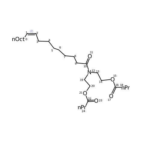 CCCCCCCC/C=C\CCCCCCCC(=O)N(CCOC(=O)CCC)CCOC(=O)CCC